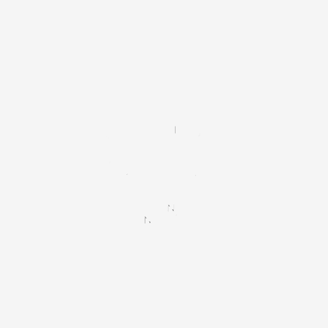 CC/C(C)=C(\C)c1cc(-c2ccccc2I)nnc1C